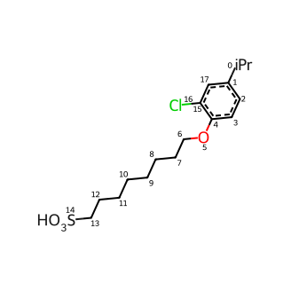 CC(C)c1ccc(OCCCCCCCCS(=O)(=O)O)c(Cl)c1